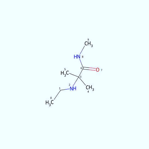 CCNC(C)(C)C(=O)NC